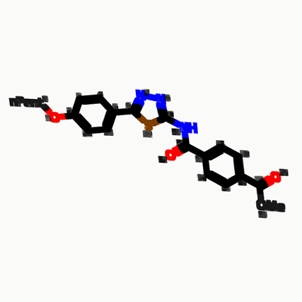 CCCCCOc1ccc(-c2nnc(NC(=O)c3ccc(C(=O)OC)cc3)s2)cc1